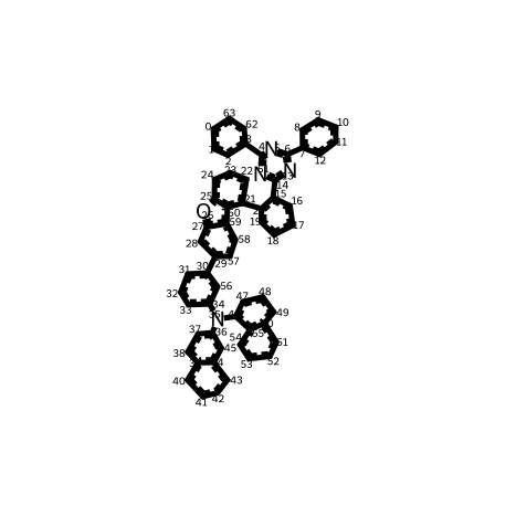 c1ccc(-c2nc(-c3ccccc3)nc(-c3ccccc3-c3cccc4oc5cc(-c6cccc(N(c7ccc8ccccc8c7)c7cccc8ccccc78)c6)ccc5c34)n2)cc1